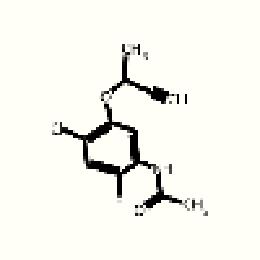 C#CC(C)Oc1cc(NC(C)=O)c(F)cc1Cl